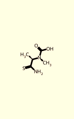 C[C@H](C(N)=S)N(C)C(=O)O